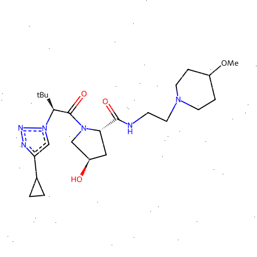 COC1CCN(CCNC(=O)[C@@H]2C[C@@H](O)CN2C(=O)[C@@H](n2cc(C3CC3)nn2)C(C)(C)C)CC1